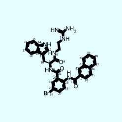 N=C(N)NCCNC(=O)[C@H](Cc1c[nH]c2ccccc12)NC(=O)c1cc(Br)ccc1NC(=O)c1ccc2ccccc2c1